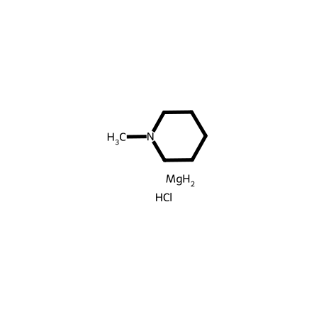 CN1CCCCC1.Cl.[MgH2]